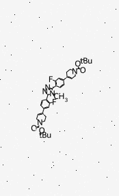 Cn1c(-c2ccc(C3=CCN(C(=O)OC(C)(C)C)CC3)cc2F)nnc1-c1ccc(C2=CCN(C(=O)OC(C)(C)C)CC2)cc1F